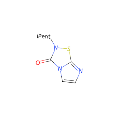 CCCC(C)n1sc2nccn2c1=O